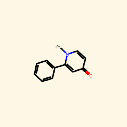 CC(C)n1ccc(=O)cc1-c1ccccc1